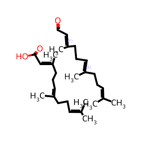 CC(C)=CCC/C(C)=C/CC/C(C)=C/C=O.CC(C)=CCCC(C)=CCCC(C)=CC(=O)O